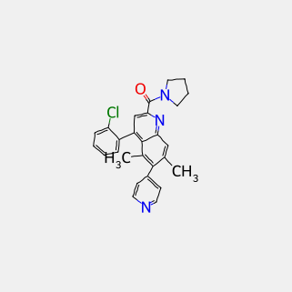 Cc1cc2nc(C(=O)N3CCCC3)cc(-c3ccccc3Cl)c2c(C)c1-c1ccncc1